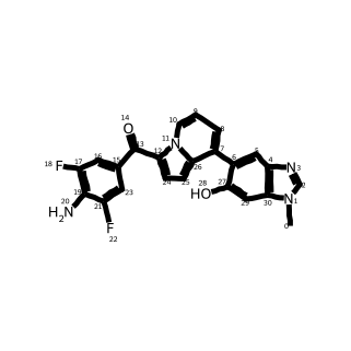 Cn1cnc2cc(-c3cccn4c(C(=O)c5cc(F)c(N)c(F)c5)ccc34)c(O)cc21